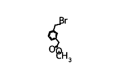 COC(=O)Cc1cccc(CCBr)c1